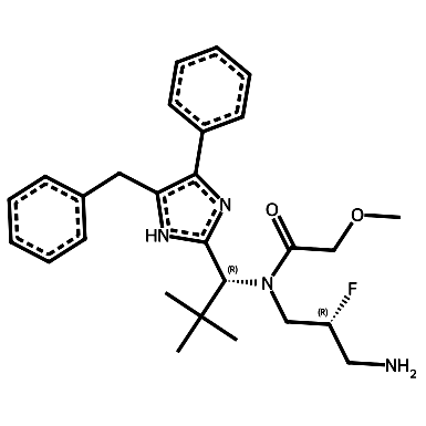 COCC(=O)N(C[C@H](F)CN)[C@@H](c1nc(-c2ccccc2)c(Cc2ccccc2)[nH]1)C(C)(C)C